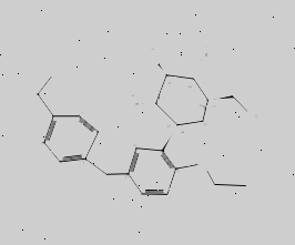 CCOc1ccc(Cc2ccc(CC)cc2)cc1[C@@H]1C[C@H](CO)[C@@H](O)[C@H](O)[C@H]1O